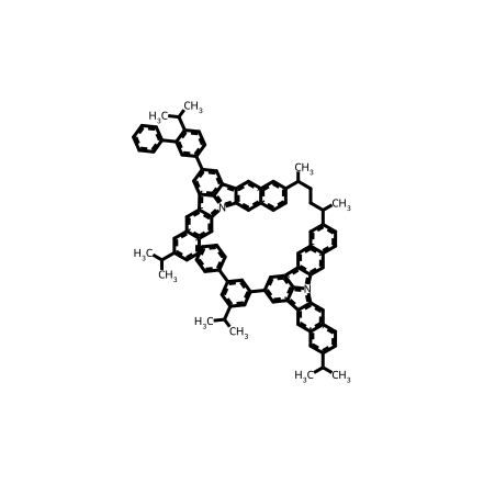 CC(C)c1cc(-c2ccccc2)cc(-c2cc3c4cc5cc(C(C)C)ccc5cc4n4c5cc6ccc(C(C)CCC(C)c7ccc8cc9c(cc8c7)c7cc(-c8ccc(C(C)C)c(-c%10ccccc%10)c8)cc8c%10cc%11cc(C(C)C)ccc%11cc%10n9c87)cc6cc5c(c2)c34)c1